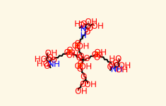 CC(=O)NC1[C@H](OCCCCCCOP(=O)(O)OCCCOCC(COCCCOP(=O)(O)OCCCCCCOC2OC(CO)[C@H](O)[C@H](O)[C@@H]2NC(C)=O)(COCCCOP(=O)(O)OCCCCCCO[C@@H]2OC(CO)[C@H](O)C(O)[C@@H]2NC(C)=O)COP(=O)(O)OCCCOCC(CO)COCCCO)OC(CO)[C@H](O)[C@@H]1O